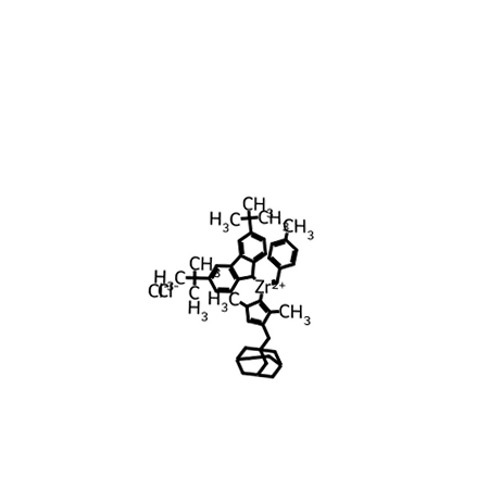 CC1=[C](/[Zr+2](=[CH]/c2ccc(C)cc2)[CH]2c3ccc(C(C)(C)C)cc3-c3cc(C(C)(C)C)ccc32)C(C)C=C1CC12CC3CC(CC(C3)C1)C2.[Cl-].[Cl-]